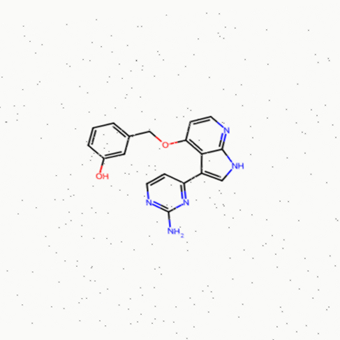 Nc1nccc(-c2c[nH]c3nccc(OCc4cccc(O)c4)c23)n1